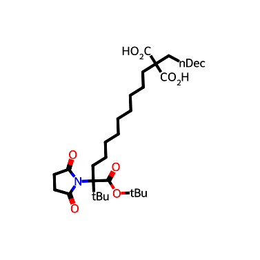 CCCCCCCCCCCC(CCCCCCCCCC(C(=O)OC(C)(C)C)(N1C(=O)CCC1=O)C(C)(C)C)(C(=O)O)C(=O)O